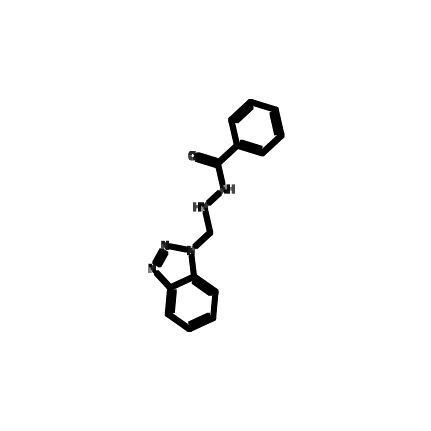 O=C(NNCn1nnc2ccccc21)c1ccccc1